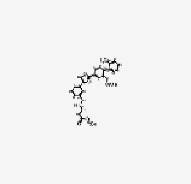 COCc1cc(-c2nc(-c3cccc(CNCCC(=O)OC(C)(C)C)c3)co2)ccc1-c1ccccc1C